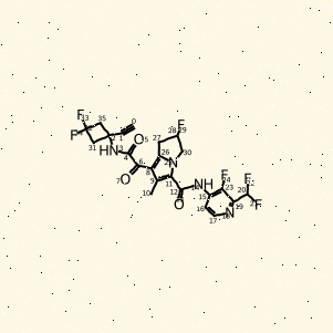 C#CC1(NC(=O)C(=O)c2c(C)c(C(=O)Nc3ccnc(C(F)F)c3F)n3c2CC(F)C3)CC(F)(F)C1